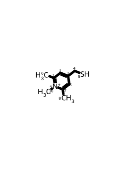 Cc1cc(CS)cc(C)[n+]1C